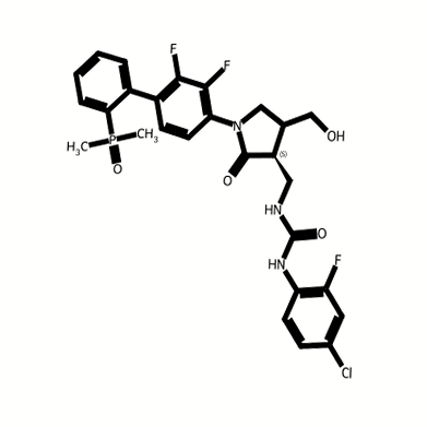 CP(C)(=O)c1ccccc1-c1ccc(N2CC(CO)[C@@H](CNC(=O)Nc3ccc(Cl)cc3F)C2=O)c(F)c1F